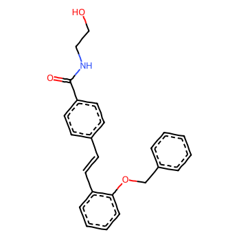 O=C(NCCO)c1ccc(C=Cc2ccccc2OCc2ccccc2)cc1